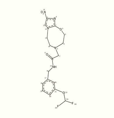 O=C(CN1CCOc2nc([N+](=O)[O-])cn2CC1)NCc1cccc(OC(F)F)c1